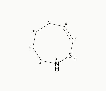 C1=CSNCCCC1